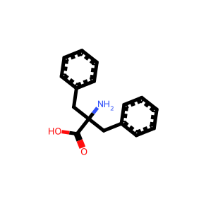 NC(Cc1ccccc1)(Cc1ccccc1)C(=O)O